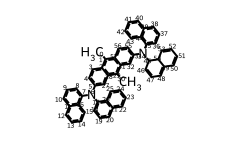 Cc1c2ccc(N(c3cccc4ccccc34)c3cccc4ccccc34)cc2c(C)c2cc(N(c3cccc4ccccc34)C3C=CC=C4C=CC=CC43)ccc12